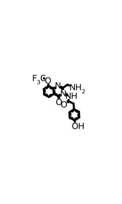 NCc1nc2c(OC(F)(F)F)cccc2c(=O)n1NC(=O)Cc1ccc(O)cc1